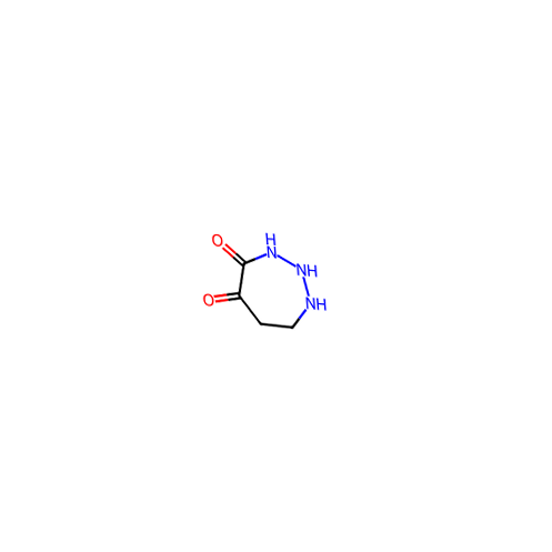 O=C1CCNNNC1=O